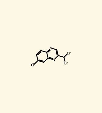 Clc1ccc2ncc(C(Br)Br)nc2c1